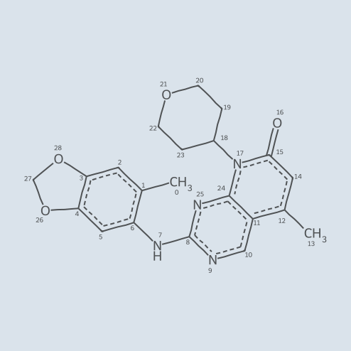 Cc1cc2c(cc1Nc1ncc3c(C)cc(=O)n(C4CCOCC4)c3n1)OCO2